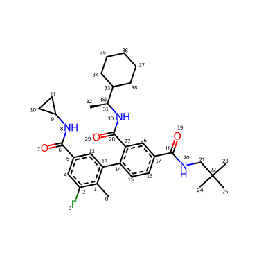 Cc1c(F)cc(C(=O)NC2CC2)cc1-c1ccc(C(=O)NCC(C)(C)C)cc1C(=O)N[C@@H](C)C1CCCCC1